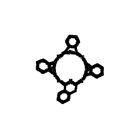 c1ccc2c(c1)Cc1nc-2nc2[nH]c(nc3nc(nc4[nH]c(n1)c1ccccc41)-c1ccccc1-3)c1ccccc21